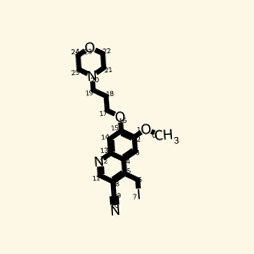 COc1cc2c(CI)c(C#N)cnc2cc1OCCCN1CCOCC1